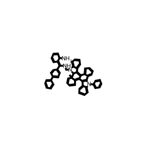 CC12C=CC=CC1=c1c(c3ccccc3c3c1c1ccccc1n3-c1ccccc1)=C1c3ccccc3N(CN/C(=C3/C=CC=CC3N)c3ccc(-c4ccccc4)cc3)C12